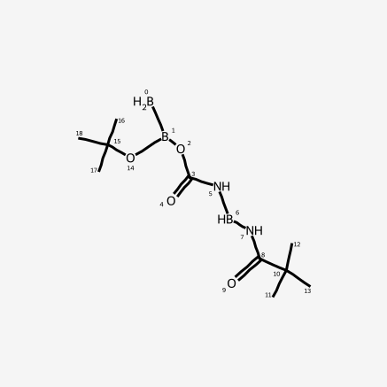 BB(OC(=O)NBNC(=O)C(C)(C)C)OC(C)(C)C